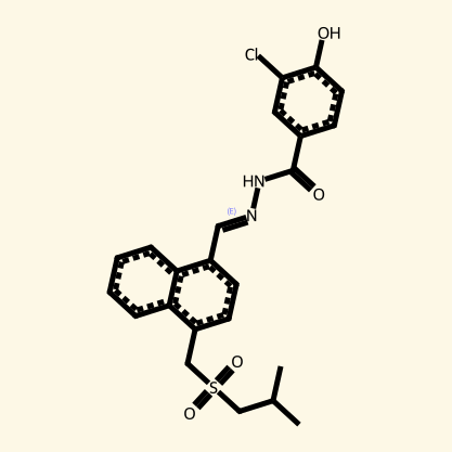 CC(C)CS(=O)(=O)Cc1ccc(/C=N/NC(=O)c2ccc(O)c(Cl)c2)c2ccccc12